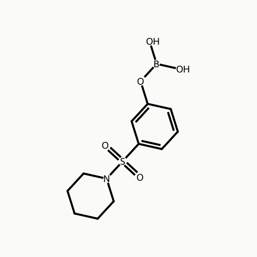 O=S(=O)(c1cccc(OB(O)O)c1)N1CCCCC1